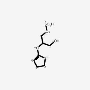 O=S(=O)(O)OCC(CO)OC1=NCCS1